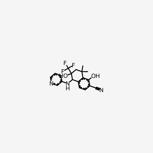 CC1(C)CC(O)(C(F)(F)F)C(Nc2cccnc2)c2ccc(C#N)c(O)c21